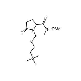 CON(C)C(=O)C1CCC(=O)N1COCCS(C)(C)C